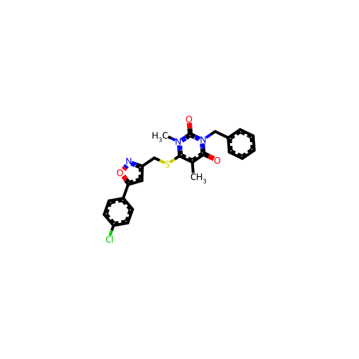 Cc1c(SCc2cc(-c3ccc(Cl)cc3)on2)n(C)c(=O)n(Cc2ccccc2)c1=O